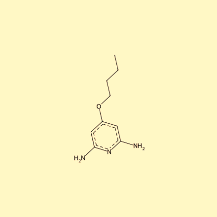 CCCCOc1cc(N)nc(N)c1